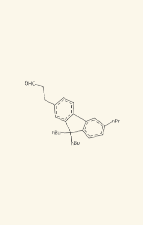 CCCCC1(CCCC)c2ccc(CCC)cc2-c2ccc(CCC=O)cc21